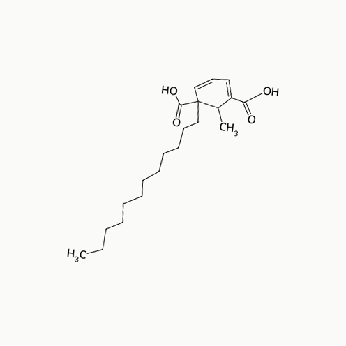 CCCCCCCCCCCCC1(C(=O)O)C=CC=C(C(=O)O)C1C